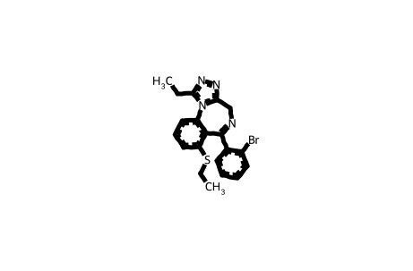 CCSc1cccc2c1C(c1ccccc1Br)=NCc1nnc(CC)n1-2